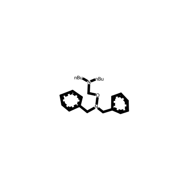 CCCCN(CCCC)CON(Cc1ccccc1)Cc1ccccc1